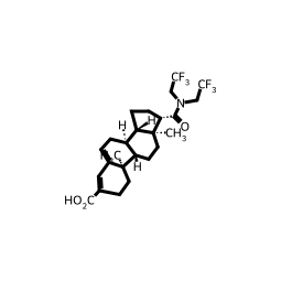 C[C@]12CC[C@H]3[C@@H](CC=C4C=C(C(=O)O)CC[C@@]43C)[C@@H]1CC[C@@H]2C(=O)N(CC(F)(F)F)CC(F)(F)F